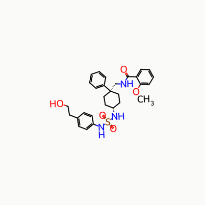 COc1ccccc1C(=O)NC[C@]1(c2ccccc2)CC[C@H](NS(=O)(=O)Nc2ccc(CCO)cc2)CC1